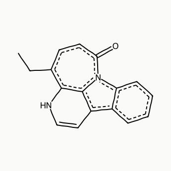 CCc1ccc(=O)n2c3c1NC=Cc3c1ccccc12